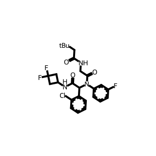 CC(C)(C)CC(=O)NCC(=O)N(c1cccc(F)c1)C(C(=O)NC1CC(F)(F)C1)c1ccccc1Cl